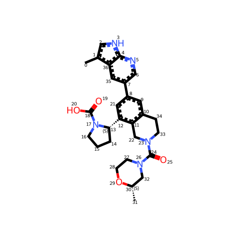 Cc1c[nH]c2ncc(-c3cc4c(c([C@@H]5CCCN5C(=O)O)c3)CN(C(=O)N3CCO[C@@H](C)C3)CC4)cc12